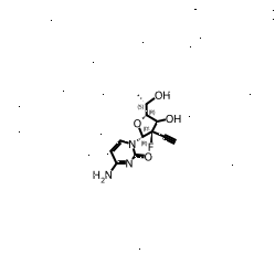 C#C[C@@]1(F)C(O)[C@@H]([C@H](C)O)O[C@H]1n1ccc(N)nc1=O